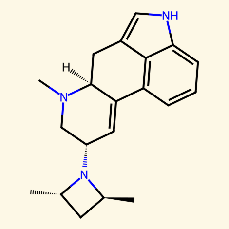 C[C@H]1C[C@H](C)N1[C@H]1C=C2c3cccc4[nH]cc(c34)C[C@@H]2N(C)C1